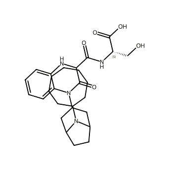 O=C(N[C@@H](CO)C(=O)O)C1Nc2ccccc2N(C2CC3CCC(C2)N3C2CCCCCCC2)C1=O